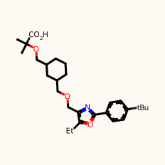 CCc1oc(-c2ccc(C(C)(C)C)cc2)nc1COCC1CCCC(COC(C)(C)C(=O)O)C1